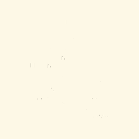 COc1ccc([C@@H]2CC(=O)N(CC(=O)N(C)c3nc4ccc(F)cc4s3)C2)cc1OC1CCCO1